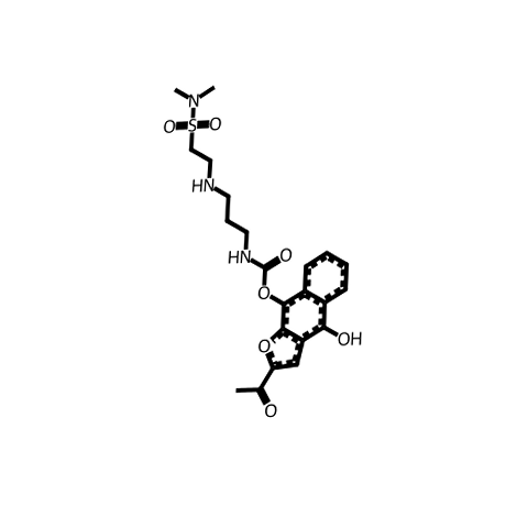 CC(=O)c1cc2c(O)c3ccccc3c(OC(=O)NCCCNCCS(=O)(=O)N(C)C)c2o1